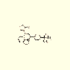 CC(C)(C)c1ccc(C2CC(N3CCCC3=O)c3cccc4c3N2CC4)cc1